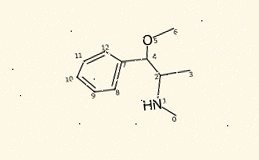 CNC(C)C(OC)c1ccccc1